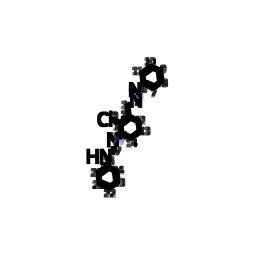 ClC1=C(C/N=N/c2ccccc2)CCC/C1=N\CNc1ccccc1